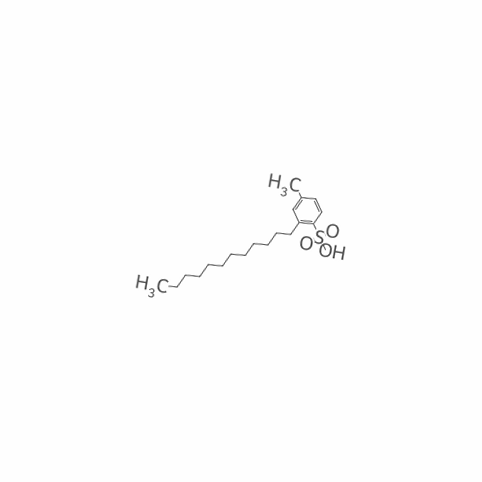 CCCCCCCCCCCCc1cc(C)ccc1S(=O)(=O)O